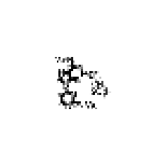 CNc1nccc(-n2cnc3c(NC)nc(C(F)(F)F)nc32)n1.CS(=O)(=O)O